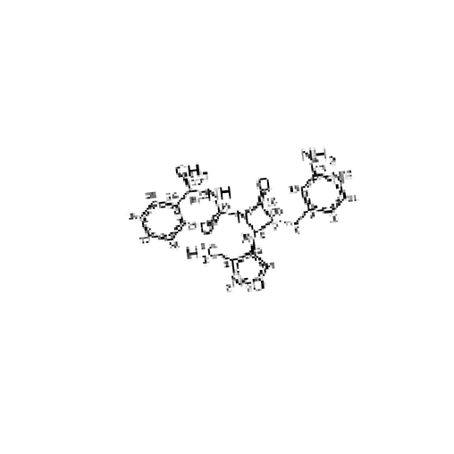 Cc1nocc1[C@@H]1[C@@H](Cc2ccnc(N)c2)C(=O)N1C(=O)N[C@H](C)c1ccccc1